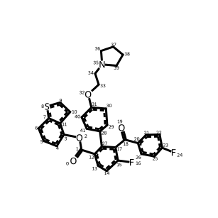 O=C(Oc1cccc2sccc12)c1ccc(F)c(C(=O)c2ccc(F)cc2)c1-c1ccc(OCCN2CCCC2)cc1